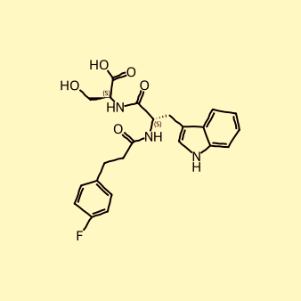 O=C(CCc1ccc(F)cc1)N[C@@H](Cc1c[nH]c2ccccc12)C(=O)N[C@@H](CO)C(=O)O